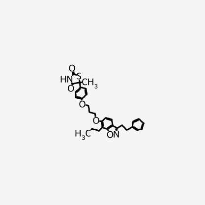 CCCc1c(OCCCOc2ccc(C3(C)SC(=O)NC3=O)cc2)ccc2c(CCc3ccccc3)noc12